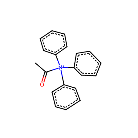 CC(=O)[N+](c1ccccc1)(c1ccccc1)c1ccccc1